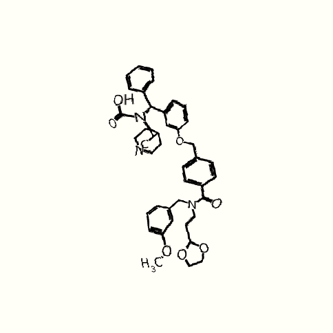 COc1cccc(CN(CCC2OCCO2)C(=O)c2ccc(COc3cccc([C@H](c4ccccc4)N(C(=O)O)C4CN5CCC4CC5)c3)cc2)c1